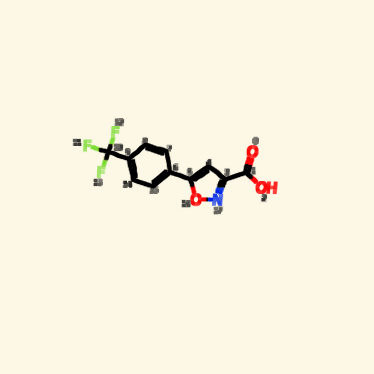 O=C(O)c1cc(-c2ccc(C(F)(F)F)cc2)on1